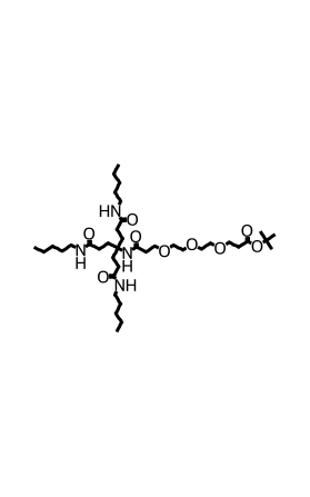 CCCCCNC(=O)CCC(CCC(=O)NCCCCC)(CCC(=O)NCCCCC)NC(=O)CCOCCOCCOCCC(=O)OC(C)(C)C